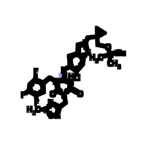 Cn1cnc(Cn2c(=O)[nH]/c(=N\c3cc4cn(CC5(CO[Si](C)(C)C(C)(C)C)CC5)nc4cc3Cl)n(Cc3cc(F)c(F)cc3F)c2=O)n1